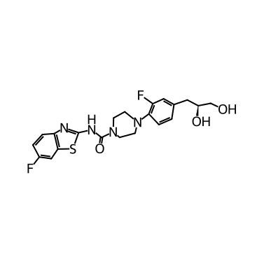 O=C(Nc1nc2ccc(F)cc2s1)N1CCN(c2ccc(C[C@H](O)CO)cc2F)CC1